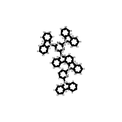 c1cc(-n2c3ccccc3c3ccccc32)nc(-n2c3ccccc3c3ccc4c(c5ccccc5n4-c4nc(-n5c6ccccc6c6ccccc65)nc(-n5c6ccccc6c6ccccc65)n4)c32)c1